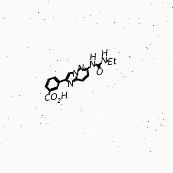 CCNC(=O)Nc1ccc2nc(-c3cccc(C(=O)O)c3)cn2n1